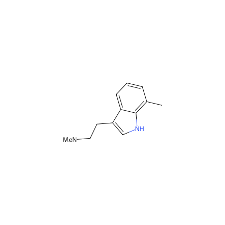 [CH2-][NH2+]CCc1c[nH]c2c(C)cccc12